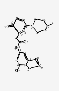 Cc1nc2cc(NC(=O)Cn3nc(N4CCC(C)CC4)ccc3=O)cc(Cl)c2o1